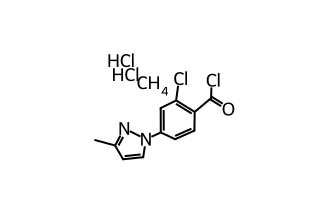 C.Cc1ccn(-c2ccc(C(=O)Cl)c(Cl)c2)n1.Cl.Cl